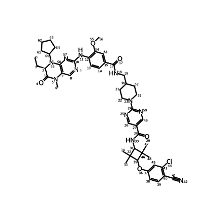 CC[C@@H]1C(=O)N(C)c2cnc(Nc3ccc(C(=O)NCC4CCN(c5ncc(C(=O)NC6C(C)(C)C(Oc7ccc(C#N)c(Cl)c7)C6(C)C)cn5)CC4)cc3OC)nc2N1C1CCCC1